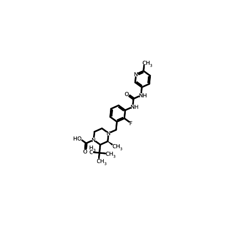 Cc1ccc(NC(=O)Nc2cccc(CN3CCN(C(=O)O)C(C(C)(C)C)[C@@H]3C)c2F)cn1